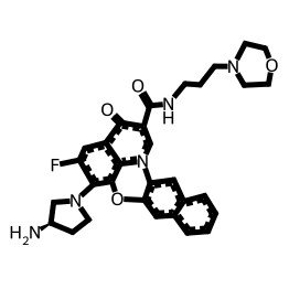 N[C@@H]1CCN(c2c(F)cc3c(=O)c(C(=O)NCCCN4CCOCC4)cn4c3c2Oc2cc3ccccc3cc2-4)C1